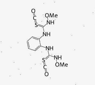 CONC(Nc1ccccc1NC(NOC)=S=C=O)=S=C=O